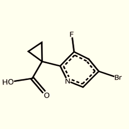 O=C(O)C1(c2ncc(Br)cc2F)CC1